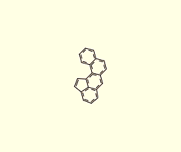 C1=Cc2c3c1cccc3cc1ccc3ccccc3c21